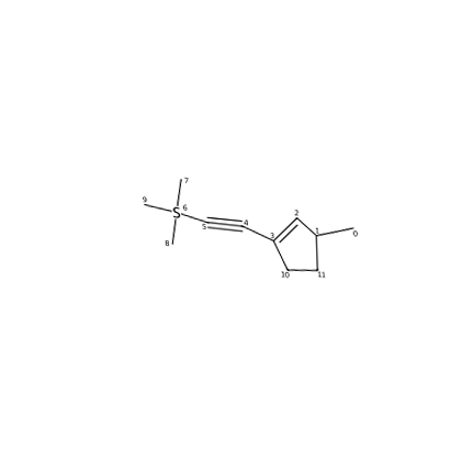 CC1C=C(C#CS(C)(C)C)CC1